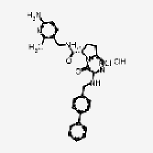 Cc1nc(N)ccc1CNC(=O)[C@@H]1CCc2cnc(NCc3ccc(-c4ccccc4)cc3)c(=O)n21.Cl.Cl